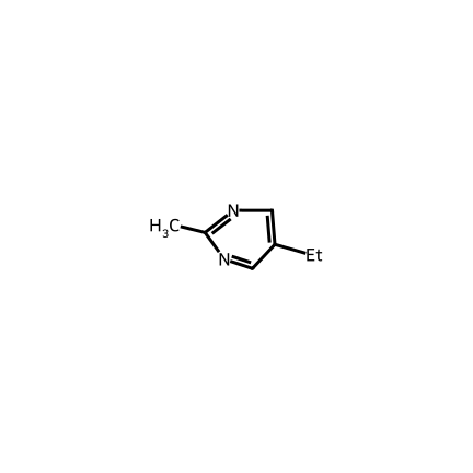 CCc1cnc(C)nc1